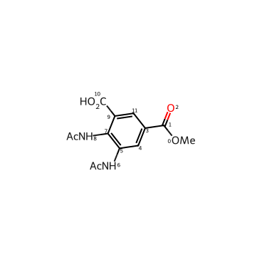 COC(=O)c1cc(NC(C)=O)c(NC(C)=O)c(C(=O)O)c1